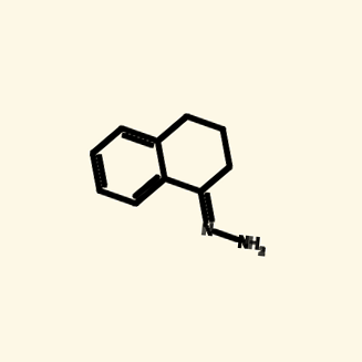 NN=C1CCCc2ccccc21